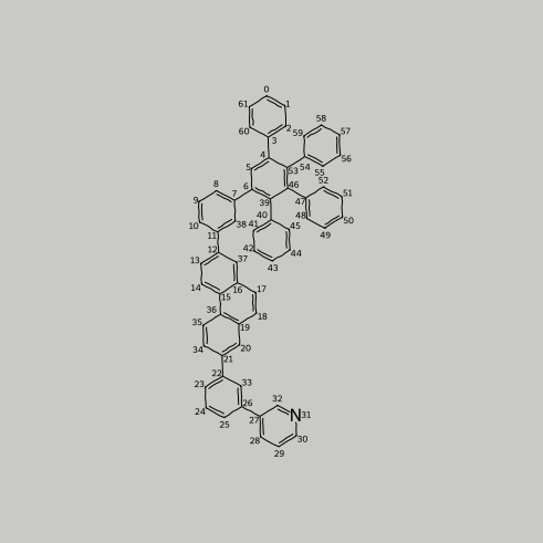 c1ccc(-c2cc(-c3cccc(-c4ccc5c(ccc6cc(-c7cccc(-c8cccnc8)c7)ccc65)c4)c3)c(-c3ccccc3)c(-c3ccccc3)c2-c2ccccc2)cc1